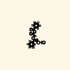 O=[C]OC(OCC(=O)OC(=O)c1ccccc1)c1ccccc1